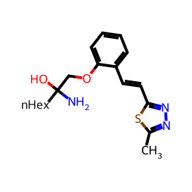 CCCCCCC(N)(O)COc1ccccc1C=Cc1nnc(C)s1